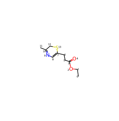 CCOC(=O)CCC1=CN=C(C)CS1